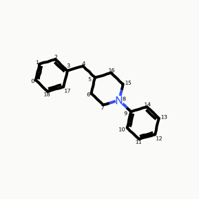 c1ccc(CC2CCN(c3ccccc3)CC2)cc1